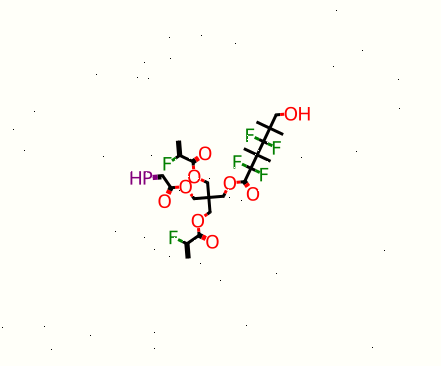 C=C(F)C(=O)OCC(COC(=O)C=P)(COC(=O)C(=C)F)COC(=O)C(F)(F)C(C)(C)C(F)(F)C(C)(C)CO